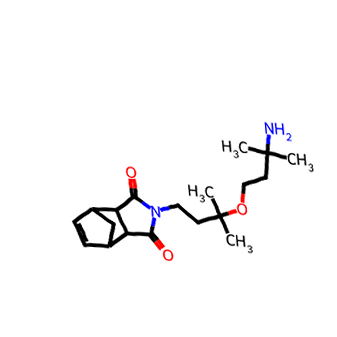 CC(C)(N)CCOC(C)(C)CCN1C(=O)C2C3C=CC(C3)C2C1=O